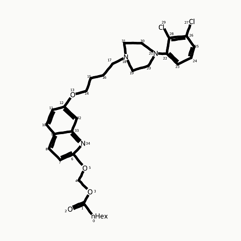 CCCCCCC(=O)OCOc1ccc2ccc(OCCCCN3CCN(c4cccc(Cl)c4Cl)CC3)cc2n1